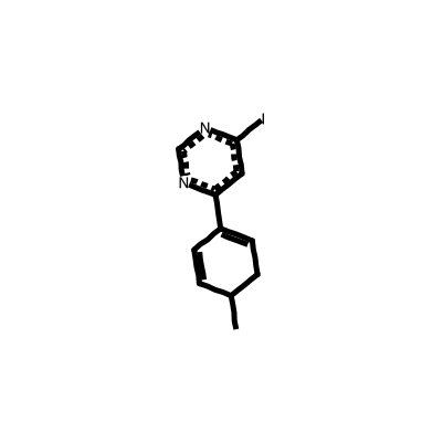 CC1C=CC(c2cc(I)ncn2)=CC1